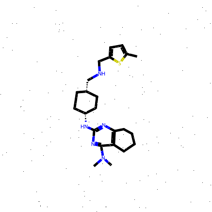 Cc1ccc(CNC[C@H]2CC[C@@H](Nc3nc4c(c(N(C)C)n3)CCCC4)CC2)s1